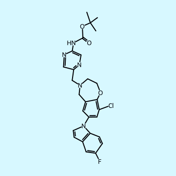 CC(C)(C)OC(=O)Nc1cnc(CN2CCOc3c(Cl)cc(-n4ccc5cc(F)ccc54)cc3C2)cn1